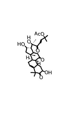 CC(=O)OC(C)(C)/C=C/C(=O)[C@](C)(O)[C@H]1C(O)C[C@@]2(C)[C@@H]3CC=C4[C@H](CC(O)C(=O)C4(C)C)[C@@]3(C)C(=O)C[C@]12C